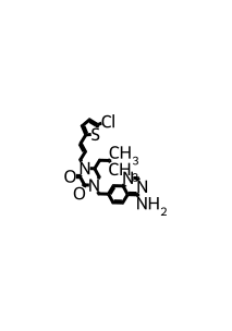 CC(C)CC1CN(Cc2ccc3c(N)ncnc3c2)C(=O)C(=O)N1CC=Cc1ccc(Cl)s1